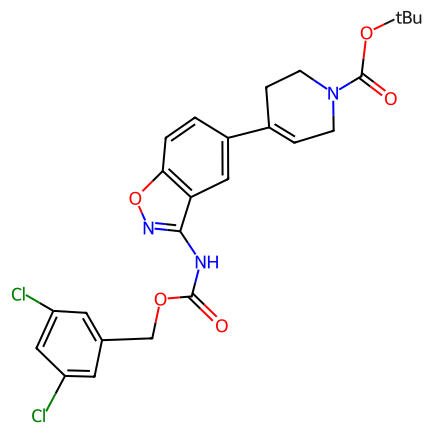 CC(C)(C)OC(=O)N1CC=C(c2ccc3onc(NC(=O)OCc4cc(Cl)cc(Cl)c4)c3c2)CC1